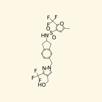 Cc1cc(S(=O)(=O)NC2Cc3ccc(Cn4cc(CO)c(C(F)(F)F)n4)cc3C2)c(C(F)(F)F)o1